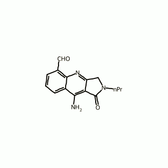 CCCN1Cc2nc3c(C=O)cccc3c(N)c2C1=O